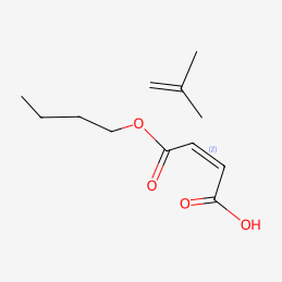 C=C(C)C.CCCCOC(=O)/C=C\C(=O)O